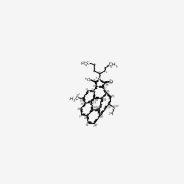 CCCC(CCC)n1c(=O)c2c3cc(C)c4ccc5ccc6c(SI)cc(c2c1=O)c1c6c5c4c31